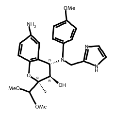 COc1ccc(N(Cc2ncc[nH]2)[C@H]2c3cc(N)ccc3O[C@](C)(C(OC)OC)[C@@H]2O)cc1